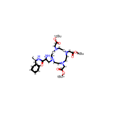 C[C@@H](NC(=O)C(N)CN1CCN(CC(=O)OC(C)(C)C)CCN(CC(=O)OC(C)(C)C)CCN(CC(=O)OC(C)(C)C)CC1)c1ccccc1